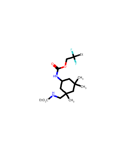 CCOC(=O)NCC1(C)CC(NC(=O)OCC(F)(F)CC)CC(C)(C)C1